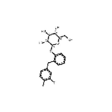 Cc1ccc(Cc2ccccc2O[C@@H]2O[C@H](CO)[C@@H](O)[C@H](O)[C@H]2O)cc1F